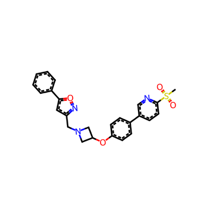 CS(=O)(=O)c1ccc(-c2ccc(OC3CN(Cc4cc(-c5ccccc5)on4)C3)cc2)cn1